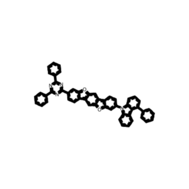 c1ccc(-c2nc(-c3ccccc3)nc(-c3ccc4c(c3)oc3cc5c(cc34)oc3cc(-n4c6ccccc6c6c(-c7ccccc7)cccc64)ccc35)n2)cc1